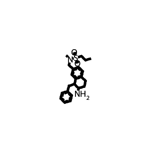 CCCS(=O)(=O)N(C)Cc1ccc2c(c1)C(Cc1ccccc1)C(N)CC2